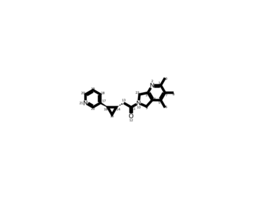 Cc1nc2c(c(C)c1C)CN(C(=O)C[C@@H]1C[C@H]1c1cccnc1)C2